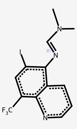 CN(C)/C=N/c1c(I)cc(C(F)(F)F)c2ncccc12